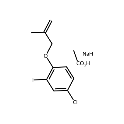 C=C(C)COc1ccc(Cl)cc1I.CC(=O)O.[NaH]